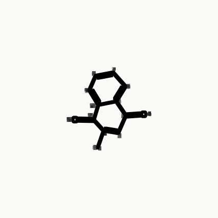 [CH]C1=CC(=O)c2ccccc2C1=O